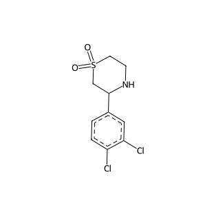 O=S1(=O)CCNC(c2ccc(Cl)c(Cl)c2)C1